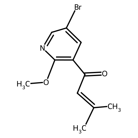 COc1ncc(Br)cc1C(=O)C=C(C)C